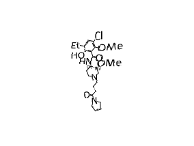 CCc1cc(Cl)c(OC)c(C(=O)N[C@H]2CCN(CCCC(=O)N3CCCC3)C[C@H]2OC)c1O